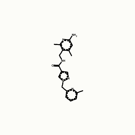 Cc1cccc(Cn2cc(C(=O)NCc3c(C)cc(N)nc3C)cn2)n1